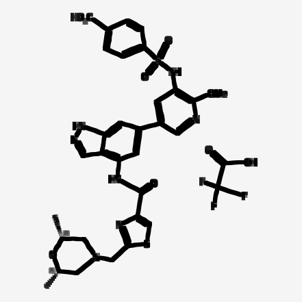 COc1ncc(-c2cc(NC(=O)c3csc(CN4C[C@@H](C)O[C@@H](C)C4)n3)c3cn[nH]c3c2)cc1NS(=O)(=O)c1ccc(C(=O)O)cc1.O=C(O)C(F)(F)F